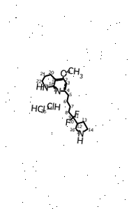 COc1cc(CCCCC(F)(F)C2CCNC2)nc2c1CCCN2.Cl.Cl